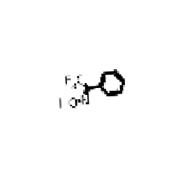 ON=C(c1ccccc1)C(F)(F)F